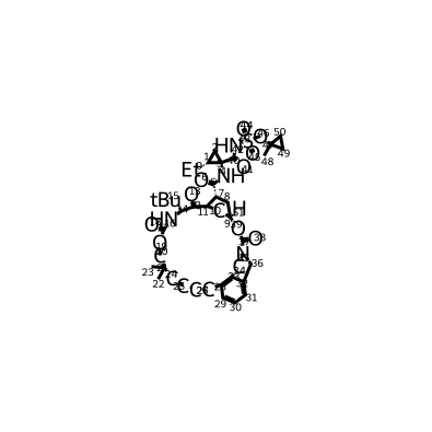 CC[C@@H]1C[C@]1(NC(=O)[C@@H]1C[C@@H]2CC1C(=O)[C@H](C(C)(C)C)NC(=O)OCC(C)(C)CCCCc1cccc3c1CN(C3)C(=O)O2)C(=O)NS(=O)(=O)OC1(C)CC1